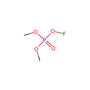 COP(=O)(OC)OF